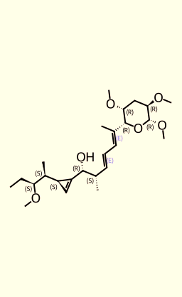 CC[C@H](OC)[C@@H](C)[C@@H]1C=C1[C@H](O)[C@@H](C)/C=C/C=C(\C)[C@H]1O[C@@H](OC)[C@H](OC)C[C@H]1OC